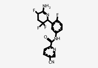 N#Cc1ccc(C(=O)Nc2ccc(F)c(C3N=C(N)C(F)CC3(F)F)c2)nc1